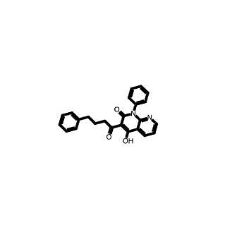 O=C(CCCc1ccccc1)c1c(O)c2cccnc2n(-c2ccccc2)c1=O